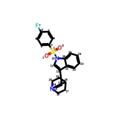 O=S(=O)(c1ccc(F)cc1)n1cc(C2=CN3CCC2CC3)c2ccccc21